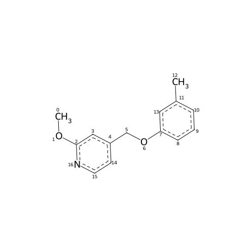 COc1cc(COc2cccc(C)c2)ccn1